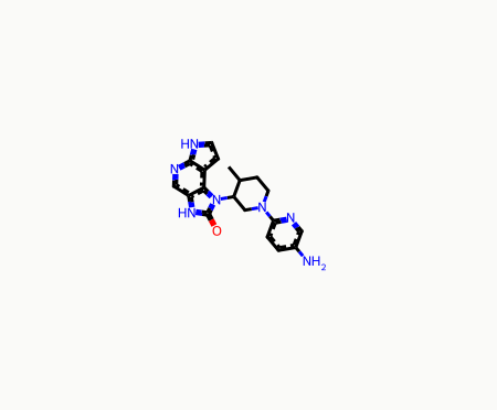 CC1CCN(c2ccc(N)cn2)CC1n1c(=O)[nH]c2cnc3[nH]ccc3c21